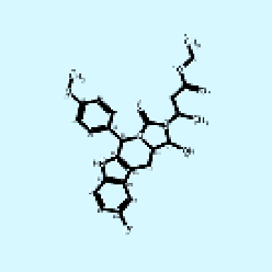 CCOC(=O)CC(C)N1C(=S)N2C(c3ccc(OC)cc3)c3[nH]c4ccc(Br)cc4c3CC2C1O